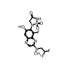 CN(CC(F)F)c1cnc2cc(O)c(N3CC(=O)NS3(=O)=O)c(F)c2n1